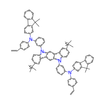 C=Cc1ccc(N(c2cccc(-n3c4ccc([Si](C)(C)C)cc4c4cc5c(cc43)c3cc([Si](C)(C)C)ccc3n5-c3cccc(N(c4ccc(C=C)cc4)c4ccc5c(c4)C(C)(C)c4ccccc4-5)c3)c2)c2ccc3c(c2)C(C)(C)c2ccccc2-3)cc1